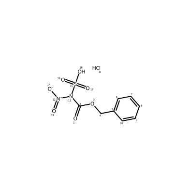 Cl.O=C(OCc1ccccc1)N([N+](=O)[O-])S(=O)(=O)O